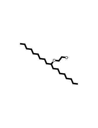 CCCCCCCCCC(CCCCCCCC)OCC[O]